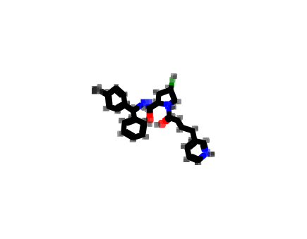 CC(C)c1ccc(C(NC(=O)C2CC(F)CN2C(=O)CCCc2cccnc2)c2ccccc2)cc1